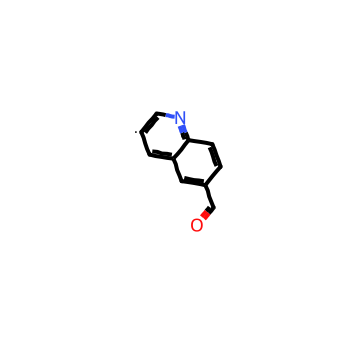 O=Cc1ccc2nc[c]cc2c1